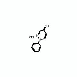 Cl.N=c1ccn(-c2ccccc2)nc1